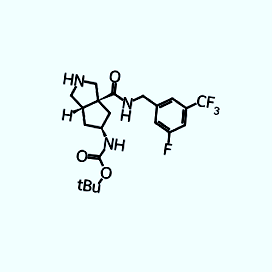 CC(C)(C)OC(=O)N[C@H]1C[C@@H]2CNC[C@]2(C(=O)NCc2cc(F)cc(C(F)(F)F)c2)C1